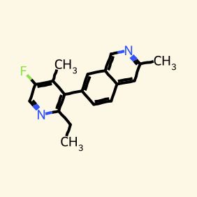 CCc1ncc(F)c(C)c1-c1ccc2cc(C)ncc2c1